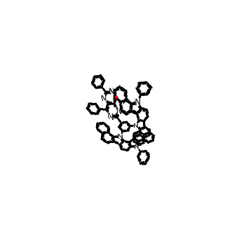 c1ccc(-c2ncc3nc(-c4cc(-n5c6c7ccccc7ccc6c6ccc7c(c8ccc9ccccc9c8n7-c7ccccc7)c65)cc(-n5c6c7ccccc7ccc6c6ccc7c(c8ccc9ccccc9c8n7-c7ccccc7)c65)c4)nc(-c4ccccc4)c3n2)cc1